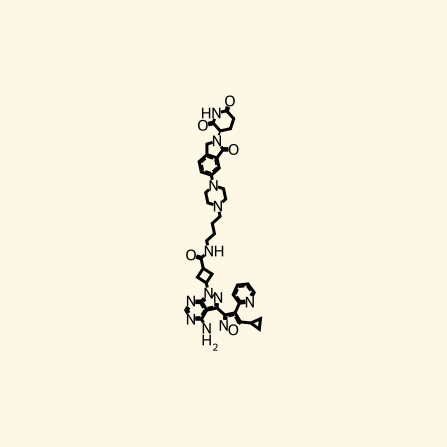 Nc1ncnc2c1c(-c1noc(C3CC3)c1-c1ccccn1)nn2C1CC(C(=O)NCCCCN2CCN(c3ccc4c(c3)C(=O)N([C@@H]3CCC(=O)NC3=O)C4)CC2)C1